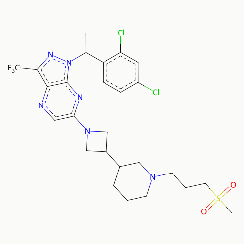 CC(c1ccc(Cl)cc1Cl)n1nc(C(F)(F)F)c2ncc(N3CC(C4CCCN(CCCS(C)(=O)=O)C4)C3)nc21